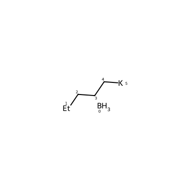 B.CCCC[CH2][K]